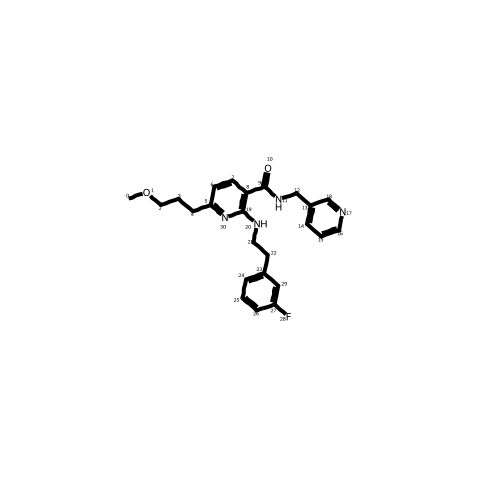 COCCCc1ccc(C(=O)NCc2cccnc2)c(NCCc2cccc(F)c2)n1